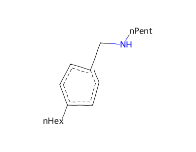 CCCCCCc1ccc(CNCCCCC)cc1